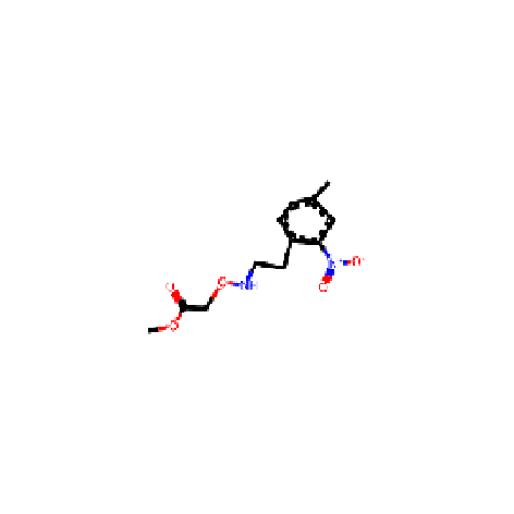 COC(=O)CONCCc1ccc(C)cc1[N+](=O)[O-]